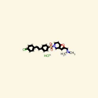 CN(C)Cc1cc2c(o1)CCN(S(=O)(=O)c1ccc(C=Cc3ccc(Cl)cc3)cc1)C2.Cl